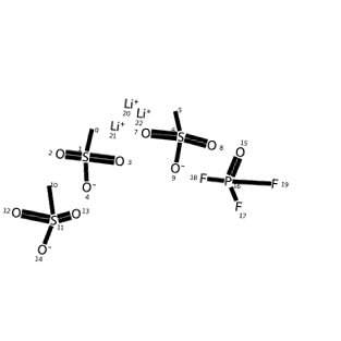 CS(=O)(=O)[O-].CS(=O)(=O)[O-].CS(=O)(=O)[O-].O=P(F)(F)F.[Li+].[Li+].[Li+]